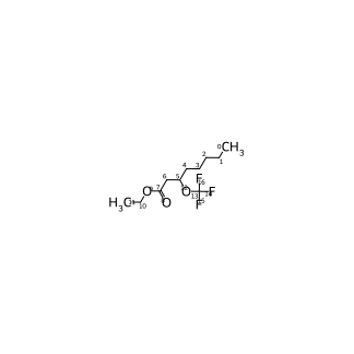 CCCCCC(CC(=O)OCC)OC(F)(F)F